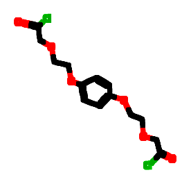 O=C(Cl)COCCOc1ccc(OCCOCC(=O)Cl)cc1